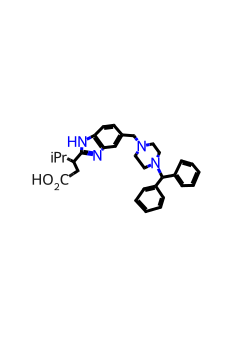 CC(C)C(CC(=O)O)c1nc2cc(CN3CCN(C(c4ccccc4)c4ccccc4)CC3)ccc2[nH]1